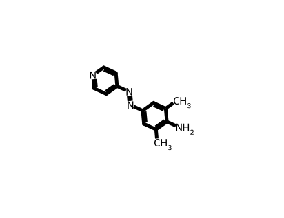 Cc1cc(/N=N/c2ccncc2)cc(C)c1N